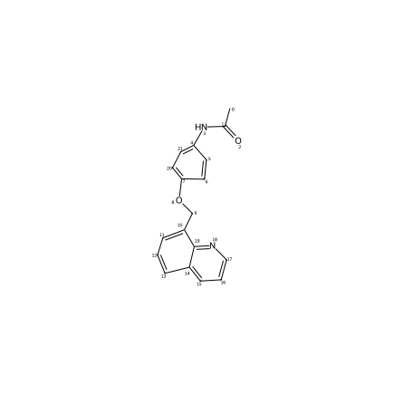 CC(=O)Nc1ccc(OCc2cccc3cccnc23)cc1